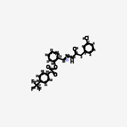 O=C(Cc1cccc(Cl)c1)N/N=C/c1ncccc1OS(=O)(=O)c1ccc(C(F)(F)F)cc1